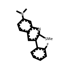 CSc1nc2cc(N(C)C)ccc2cc1-c1ccccc1F